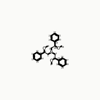 CO[C@@H](CN(C[C@H](OC)c1ccccc1)C[C@H](OC)c1ccccc1)c1ccccc1